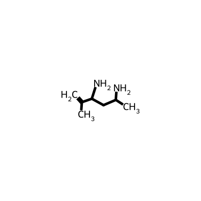 C=C(C)C(N)CC(C)N